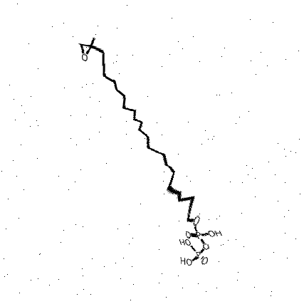 CC1(CCCCCCCCCCCCCCCCCCCCOP(=O)(O)OP(=O)(O)O)CO1